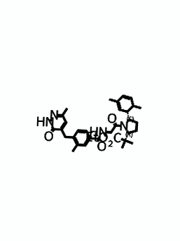 CCOC(=O)C(C)(C)[C@H]1CC[C@@H](C2C=C(C)C=CC2C)N1C(=O)CNC(=O)c1ccc(Cc2cc(C)n[nH]c2=O)c(C)c1